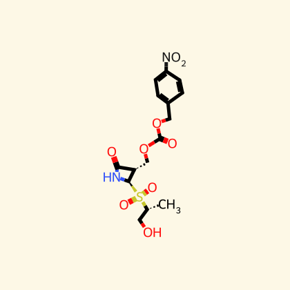 C[C@H](CO)S(=O)(=O)[C@H]1NC(=O)[C@@H]1COC(=O)OCc1ccc([N+](=O)[O-])cc1